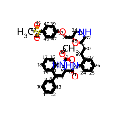 COC(=O)NC(C=C(c1ccccc1)c1ccccc1)C(=O)Nc1ccccc1CC[C@@H]1CNCC(COc2ccc(S(C)(=O)=O)cc2)O1